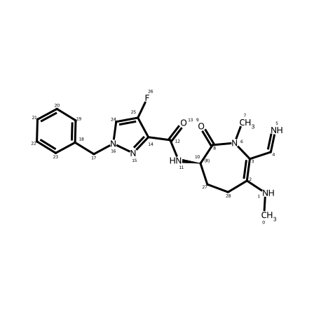 CNC1=C(C=N)N(C)C(=O)[C@H](NC(=O)c2nn(Cc3ccccc3)cc2F)CC1